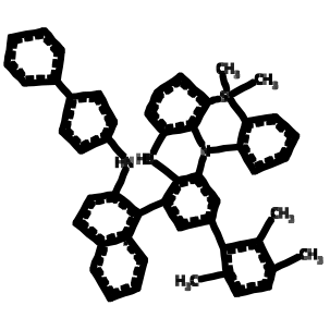 Cc1ccc(C)c(-c2cc(-c3c(Nc4ccc(-c5ccccc5)cc4)ccc4ccccc34)c3c(c2)N2c4ccccc4[Si](C)(C)c4cccc(c42)B3)c1C